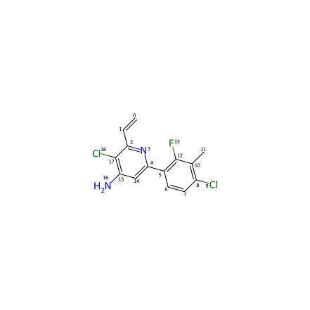 C=Cc1nc(-c2ccc(Cl)c(C)c2F)cc(N)c1Cl